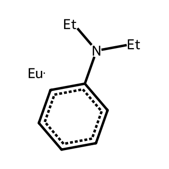 CCN(CC)c1ccccc1.[Eu]